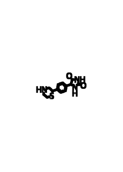 O=C1NC(=O)C(c2ccc(C3CNCCS3)cc2)N1